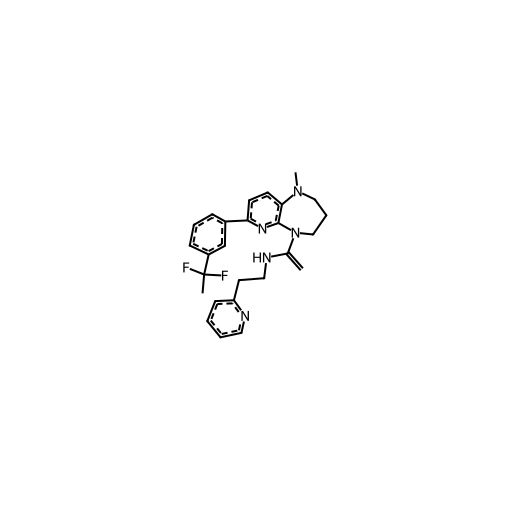 C=C(NCCc1ccccn1)N1CCCN(C)c2ccc(-c3cccc(C(C)(F)F)c3)nc21